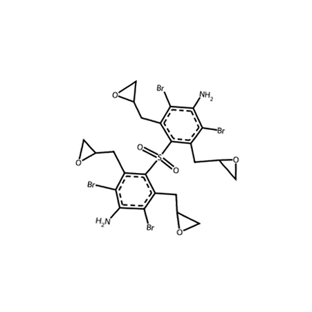 Nc1c(Br)c(CC2CO2)c(S(=O)(=O)c2c(CC3CO3)c(Br)c(N)c(Br)c2CC2CO2)c(CC2CO2)c1Br